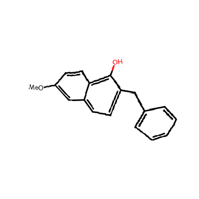 COc1ccc2c(O)c(Cc3ccccc3)ccc2c1